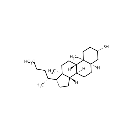 C[C@H](CCC(=O)O)[C@H]1CC[C@H]2[C@@H]3CC[C@@H]4C[C@@H](S)CC[C@]4(C)[C@H]3CC[C@]12C